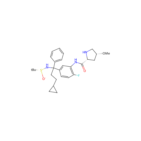 CO[C@H]1CN[C@@H](C(=O)Nc2cc(C(CCC3CC3)(N[S@+]([O-])C(C)(C)C)c3ccccc3)ccc2F)C1